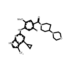 COc1cc(C(=O)N2CCC(N3CCOCC3)CC2)c(F)cc1Nc1cc(C2CC2)c2c(C(F)(F)F)c[nH]c2n1